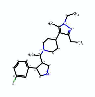 CCc1nn(CC)c(C)c1C1CCN([C@H](C)C2CNCC2c2cccc(F)c2)CC1